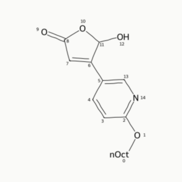 CCCCCCCCOc1ccc(C2=CC(=O)OC2O)cn1